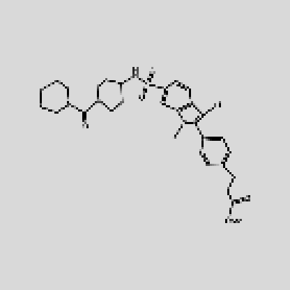 COC(=O)CCc1ccc(-c2c(Cl)c3ccc(S(=O)(=O)NC4CCC(C(=O)N5CCCCC5)CC4)cc3n2C)cc1